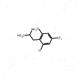 NC(Cc1c(Cl)cc(C(F)(F)F)cc1Cl)C(=O)O